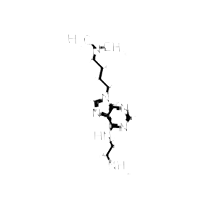 CN(C)CCCCn1cnc2c(NCCN)ncnc21